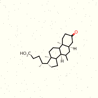 CC1C[C@@H]2CC(=O)CC[C@]2(C)C2CC[C@@]3(C)C(CC[C@@H]3[C@H](C)CCC(=O)O)[C@H]12